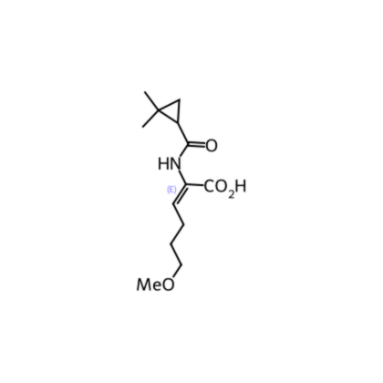 COCCC/C=C(/NC(=O)C1CC1(C)C)C(=O)O